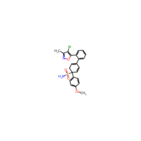 COc1ccc(C2(S(N)(=O)=O)C=CC(c3ccccc3-c3onc(C)c3Br)=CC2)cc1